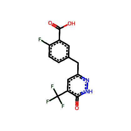 O=C(O)c1cc(Cc2cc(C(F)(F)F)c(=O)[nH]n2)ccc1F